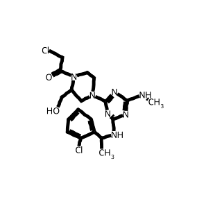 CNc1nc(NC(C)c2ccccc2Cl)nc(N2CCN(C(=O)CCl)C(CO)C2)n1